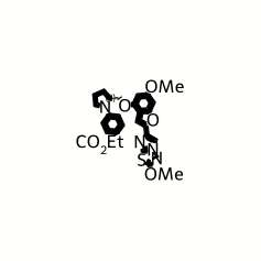 CCOC(=O)c1ccc(N2CCC[C@@H]2COc2cc(OC)cc3oc(-c4cn5nc(OC)sc5n4)cc23)cc1